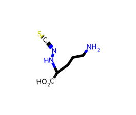 NCCCC(NN=C=S)C(=O)O